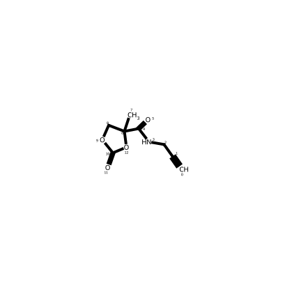 C#CCNC(=O)C1(C)COC(=O)O1